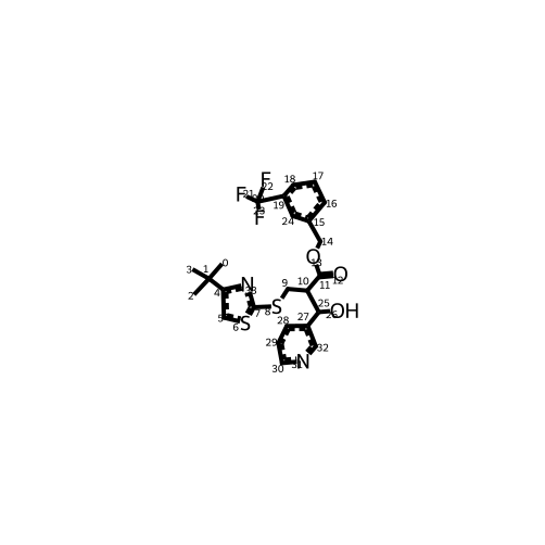 CC(C)(C)c1csc(SCC(C(=O)OCc2cccc(C(F)(F)F)c2)C(O)c2cccnc2)n1